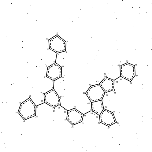 c1ccc(-c2ccc(-c3nc(-c4ccccc4)nc(-c4cccc(-n5c6ccccc6c6c7oc(-c8ccccc8)nc7ccc65)c4)n3)cc2)cc1